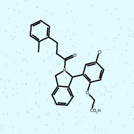 Cc1ccccc1CCC(=O)N1Cc2ccccc2C1c1cc(Cl)ccc1OCC(=O)O